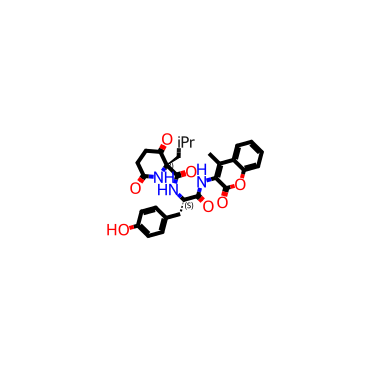 Cc1c(NC(=O)[C@H](Cc2ccc(O)cc2)NC(=O)[C@]2(CC(C)C)NC(=O)CCC2=O)c(=O)oc2ccccc12